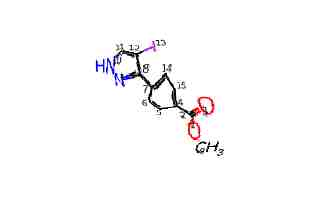 COC(=O)c1ccc(-c2n[nH]cc2I)cc1